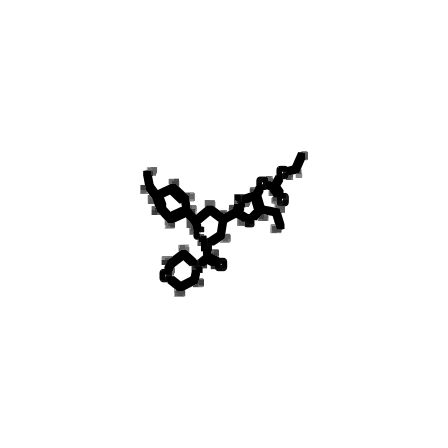 CCOC(=O)Oc1nc(C2CC(c3ccc(CC)cc3)CN(C(=O)N3CCOCC3)C2)sc1CC